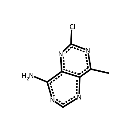 Cc1nc(Cl)nc2c(N)ncnc12